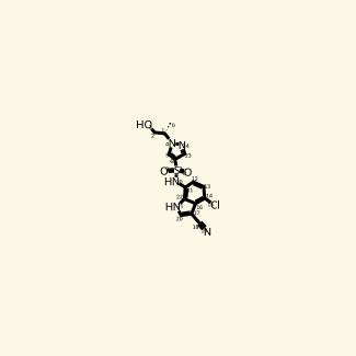 C[C@@H](CO)n1cc(S(=O)(=O)Nc2ccc(Cl)c3c(C#N)c[nH]c23)cn1